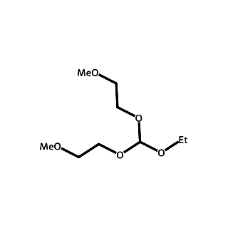 CCOC(OCCOC)OCCOC